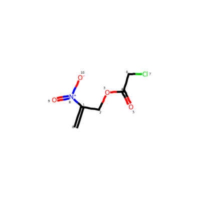 C=C(COC(=O)CCl)[N+](=O)[O-]